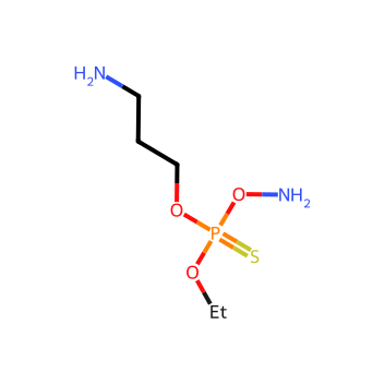 CCOP(=S)(ON)OCCCN